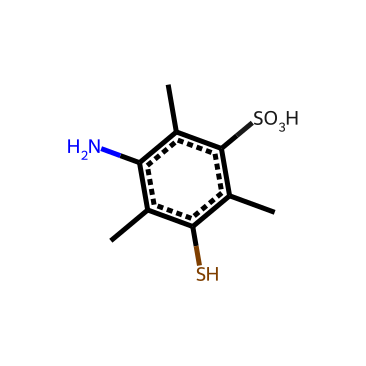 Cc1c(N)c(C)c(S(=O)(=O)O)c(C)c1S